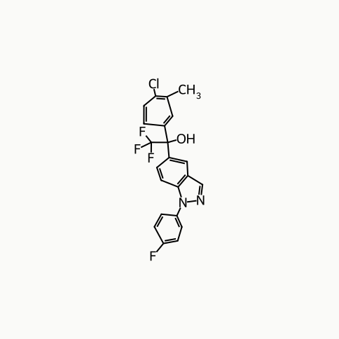 Cc1cc(C(O)(c2ccc3c(cnn3-c3ccc(F)cc3)c2)C(F)(F)F)ccc1Cl